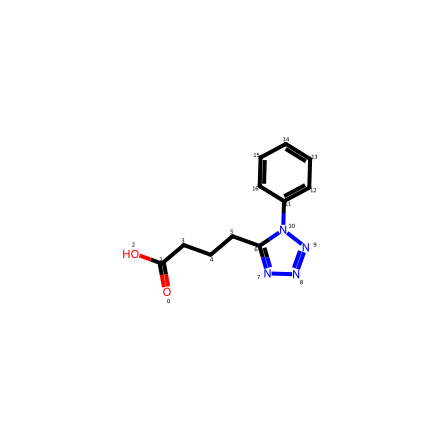 O=C(O)CCCc1nnnn1-c1ccccc1